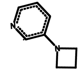 [c]1ncccc1N1CCC1